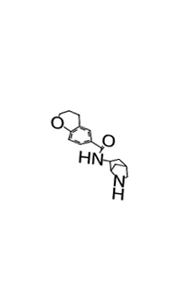 O=C(NC1CC2CNC1C2)c1ccc2c(c1)CCCO2